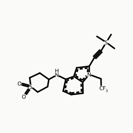 CS(C)(C)C#Cc1cc2c(NC3CCS(=O)(=O)CC3)cccc2n1CC(F)(F)F